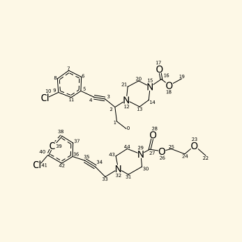 CCC(C#Cc1cccc(Cl)c1)N1CCN(C(=O)OC)CC1.COCCOC(=O)N1CCN(CC#Cc2cccc(Cl)c2)CC1